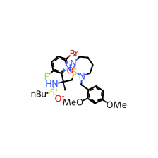 CCCC[S+]([O-])N[C@@](C)(CS1(=O)=NCCCCN1Cc1ccc(OC)cc1OC)c1nc(Br)ccc1F